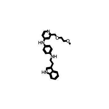 COCCOCc1cc(Nc2ccc(NCCc3c[nH]c4ccccc34)cc2)ccn1